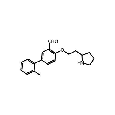 Cc1ccccc1-c1ccc(OCCC2CCCN2)c(C=O)c1